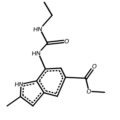 CCNC(=O)Nc1cc(C(=O)OC)cc2cc(C)[nH]c12